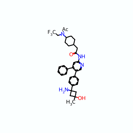 CC(=O)N(CC(F)(F)F)C1CCC(CC(=O)Nc2cc(-c3ccccc3)c(-c3ccc(C4(N)CC(C)(O)C4)cc3)cn2)CC1